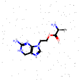 CC(C)[C@H](N)C(=O)OCCn1cnc2c1N=C(N)NC2